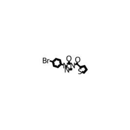 O=C(c1cccs1)n1cnn(-c2ccc(Br)cc2)c1=O